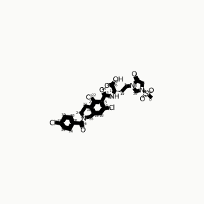 CS(=O)(=O)N1CC(=O)N(CC[C@H](NC(=O)c2c(Cl)cc3c(c2Cl)CCN(C(=O)c2ccc(Cl)cc2)C3)C(=O)O)C1